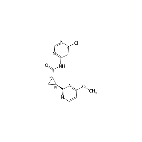 COc1ccnc([C@H]2C[C@@H]2C(=O)Nc2cc(Cl)ncn2)n1